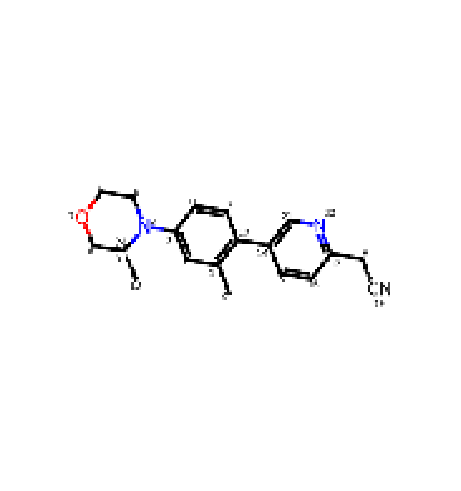 Cc1cc(N2CCOC[C@@H]2C)ccc1-c1ccc(CC#N)nc1